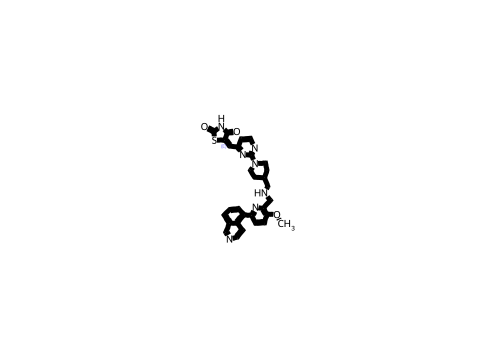 COc1ccc(-c2cccc3cnccc23)nc1CNCC1CCN(c2nccc(/C=C3/SC(=O)NC3=O)n2)CC1